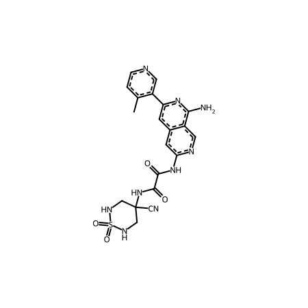 Cc1ccncc1-c1cc2cc(NC(=O)C(=O)NC3(C#N)CNS(=O)(=O)NC3)ncc2c(N)n1